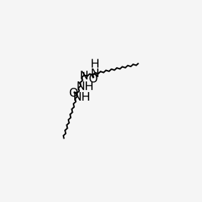 CCCCCCCCCCCCCCCCNC(=O)CCNCCCN(C)CCC(=O)NCCCCCCCCCCCCCCCC